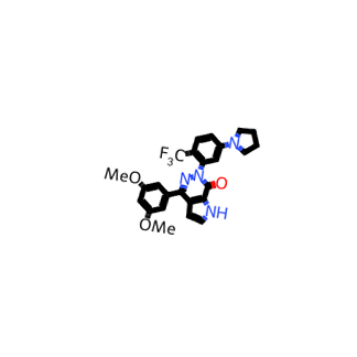 COc1cc(OC)cc(-c2nn(-c3cc(N4CCCC4)ccc3C(F)(F)F)c(=O)c3[nH]ccc23)c1